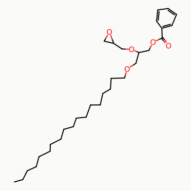 CCCCCCCCCCCCCCCCCCOCC(COC(=O)c1ccccc1)OCC1CO1